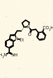 CCn1c(CC[C@@H]2CCCN2C(=O)Cc2ccccc2C(=O)O)cc2ccc(C(=N)N)cc21